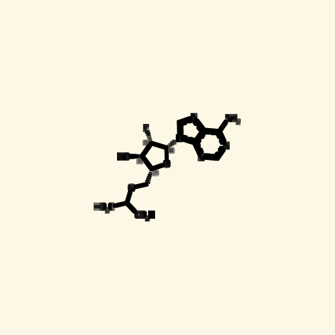 Nc1ncnc2c1ncn2[C@@H]1O[C@H](COC(C(=O)O)C(=O)O)[C@@H](O)[C@@H]1F